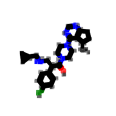 C[C@@H]1CCc2ncnc(N3CCN(C(=O)[C@H](CNCC4CC4)c4ccc(Br)cc4)CC3)c21